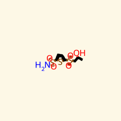 CC(O)CS(=O)(=O)c1ccc(S(N)(=O)=O)s1